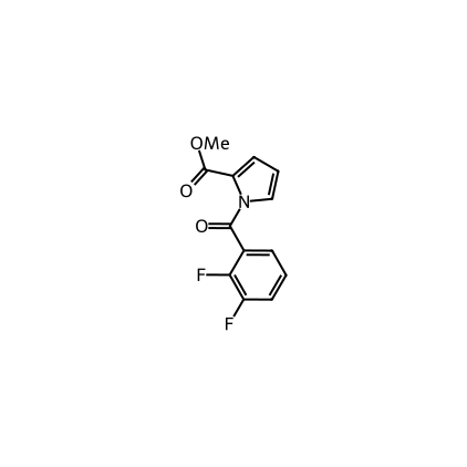 COC(=O)c1cccn1C(=O)c1cccc(F)c1F